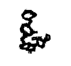 C[C@H]1CN(Cc2ccn3ncc(N4CCC(=O)NC4=O)c3c2)CCN1CC1CCCCC1